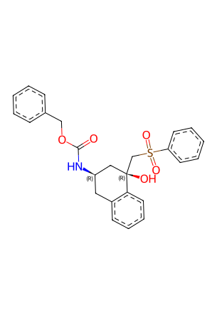 O=C(N[C@@H]1Cc2ccccc2[C@@](O)(CS(=O)(=O)c2ccccc2)C1)OCc1ccccc1